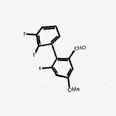 COc1cc(F)c(-c2cccc(F)c2F)c(C=O)c1